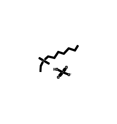 CCCCCCC[N+](C)(C)CC.O=S(=O)([O-])O